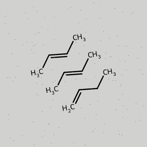 C=CCC.CC=CC.CC=CC